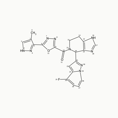 Cc1c[nH]nc1-c1nnc(C(=O)N2CCc3[nH]cnc3C2c2cc3c(F)cccn3n2)o1